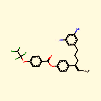 Nc1cc(N)cc(CCC/C(=C\C(=O)O)c2ccc(OC(=O)c3ccc(OC(F)(F)C(F)F)cc3)cc2)c1